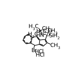 CC1=[C]([Zr]([CH3])([CH3])(=[SiH2])[NH]C(C)(C)C)C2=Cc3ccccc3C(Br)C2=C1.Cl.Cl